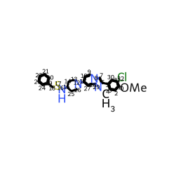 COc1cc(C)c(-c2cn3ccc(N4CCC(NSCc5ccccc5)CC4)cc3n2)cc1Cl